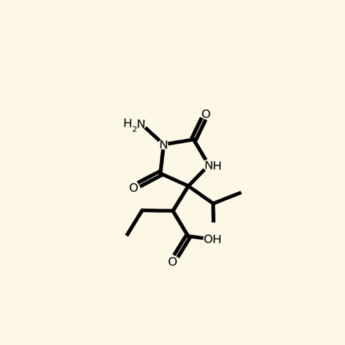 CCC(C(=O)O)C1(C(C)C)NC(=O)N(N)C1=O